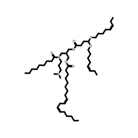 CC/C=C\CCCCOC(CCC(=O)OCC(COC(=O)CCCCCCC/C=C\C/C=C\CCCCC)CN(CCCN(C)C)C(=O)CCCCCCCC)OCCCC/C=C\CC